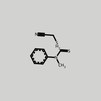 CN(C(=S)[SH2]CC#N)c1ccccc1